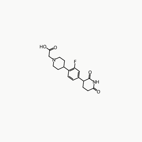 O=C(O)CN1CCC(c2ccc(C3CCC(=O)NC3=O)cc2F)CC1